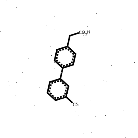 N#Cc1cccc(-c2ccc(CC(=O)O)cc2)c1